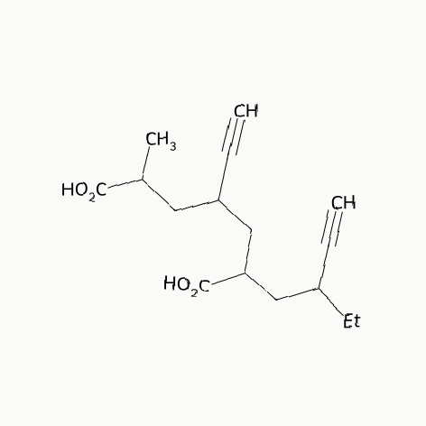 C#CC(CC)CC(CC(C#C)CC(C)C(=O)O)C(=O)O